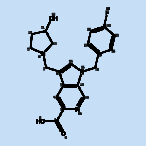 O=C(O)c1cc2c(CN3CCC(O)C3)cn(Cc3ccc(F)cc3)c2cn1